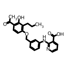 CCCc1c(OCc2cccc(Nc3ncccc3C(=O)O)c2)ccc(C(C)=O)c1O